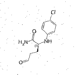 NC(=O)[C@H](CCC=O)Nc1ccc(Cl)cc1